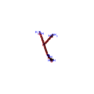 NCCNC(=O)CCOCCOCCOCCOCCOCCOCCN(CCOCCOCCOCCOCCOCCOCCC(=O)NCCN)C(=O)CCOCCOCCOCCOCCOCCOCCn1cc(CNC(=O)CCCC[C@@H]2SC[C@@H]3NC(=O)N[C@@H]32)nn1